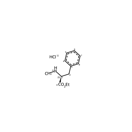 CCOC(=O)[C@H](Cc1ccccc1)NCl.Cl